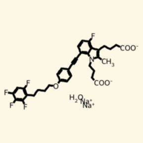 Cc1c(CCCC(=O)[O-])c2c(F)ccc(C#Cc3ccc(OCCCCc4c(F)cc(F)c(F)c4F)cc3)c2n1CCCC(=O)[O-].O.[Na+].[Na+]